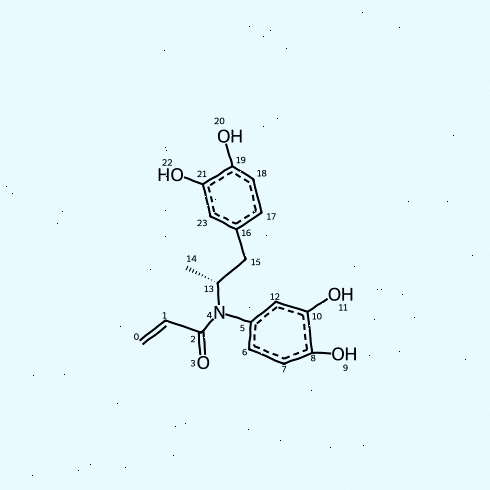 C=CC(=O)N(c1ccc(O)c(O)c1)[C@H](C)Cc1ccc(O)c(O)c1